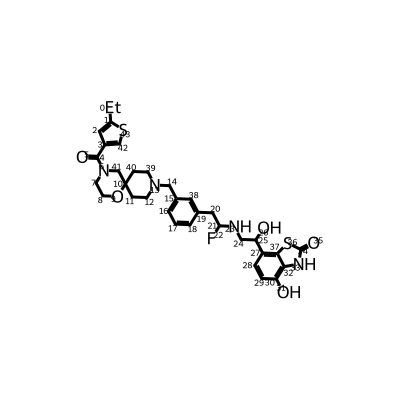 CCc1cc(C(=O)N2CCOC3(CCN(Cc4cccc(CC(F)NCC(O)c5ccc(O)c6[nH]c(=O)sc56)c4)CC3)C2)cs1